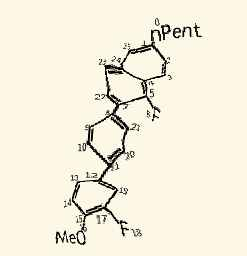 CCCCCc1ccc2c(F)c(-c3ccc(-c4ccc(OC)c(F)c4)cc3)ccc2c1